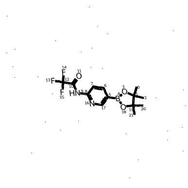 CC1(C)OB(c2ccc(NC(=O)C(F)(F)F)nc2)OC1(C)C